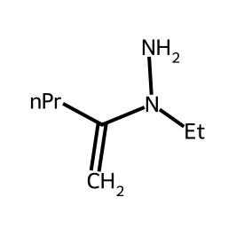 C=C(CCC)N(N)CC